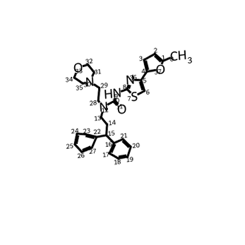 Cc1ccc(-c2csc(NC(=O)N(CCC(c3ccccc3)c3ccccc3)CCN3CCOCC3)n2)o1